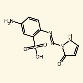 Nc1ccc(/N=N/n2[nH]ccc2=O)c(S(=O)(=O)O)c1